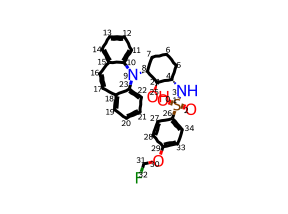 O=S(=O)(N[C@H]1CCC[C@@H](N2c3ccccc3C=Cc3ccccc32)[C@@H]1O)c1ccc(OCF)cc1